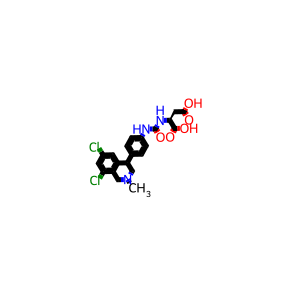 CN1Cc2c(Cl)cc(Cl)cc2C(c2ccc(NC(=O)N[C@@H](CC(=O)O)C(=O)O)cc2)C1